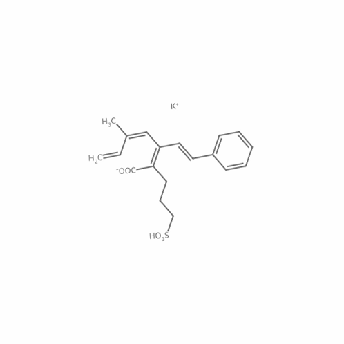 C=CC(C)=CC(C=Cc1ccccc1)=C(CCCS(=O)(=O)O)C(=O)[O-].[K+]